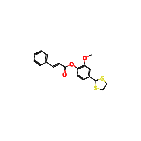 COc1cc(C2SCCS2)ccc1OC(=O)C=Cc1ccccc1